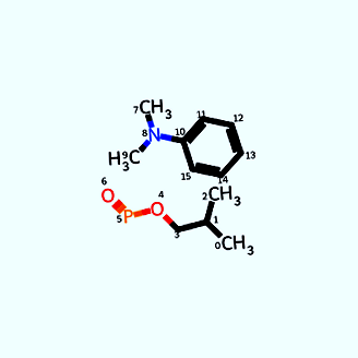 CC(C)COP=O.CN(C)c1ccccc1